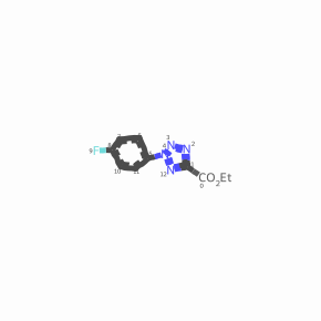 CCOC(=O)c1nnn(-c2ccc(F)cc2)n1